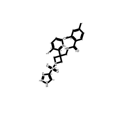 Cc1ccc(C(=O)NCC2(c3ncccc3F)CN(S(=O)(=O)c3c[nH]nn3)C2)c(Cl)c1